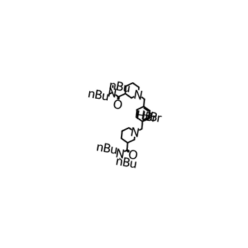 Br.Br.CCCCN(CCCC)C(=O)C1CCCN(Cc2ccc(CN3CCCC(C(=O)N(CCCC)CCCC)C3)cc2)C1